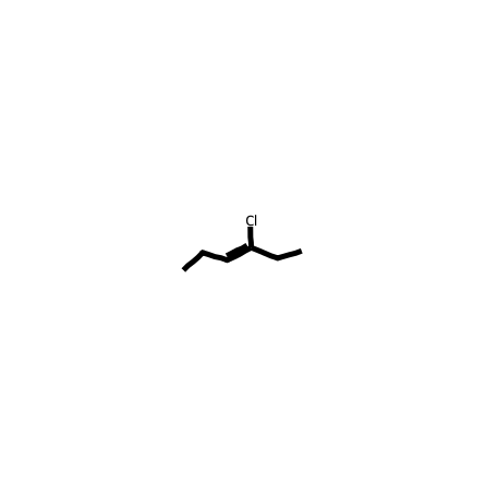 CCC=C(Cl)CC